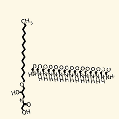 CCCCCCCCCCCCCCCCOCC(O)C[N]C(=O)CO.[NH]C=O.[NH]C=O.[NH]C=O.[NH]C=O.[NH]C=O.[NH]C=O.[NH]C=O.[NH]C=O.[NH]C=O.[NH]C=O.[NH]C=O.[NH]C=O.[NH]C=O.[NH]C=O.[NH]C=O